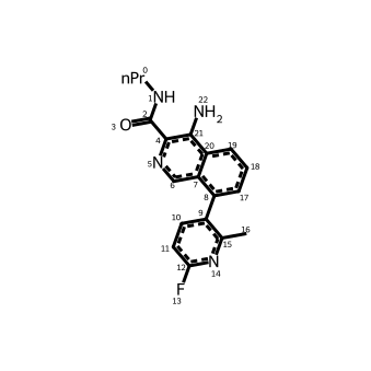 CCCNC(=O)c1ncc2c(-c3ccc(F)nc3C)cccc2c1N